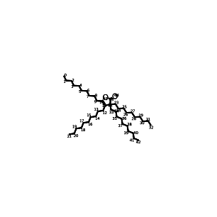 CCCCCCCCCCC1=C(CCCCCCCCCC)C(CCCCCCCCCC)(CCCCCCCCCC)C(=O)O1